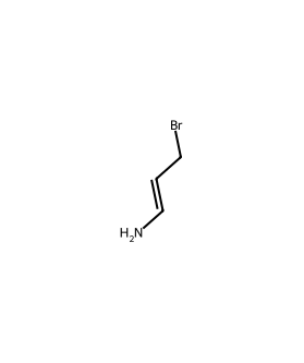 NC=CCBr